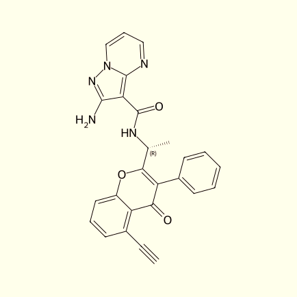 C#Cc1cccc2oc([C@@H](C)NC(=O)c3c(N)nn4cccnc34)c(-c3ccccc3)c(=O)c12